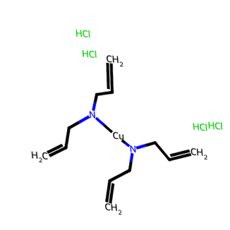 C=CC[N](CC=C)[Cu][N](CC=C)CC=C.Cl.Cl.Cl.Cl